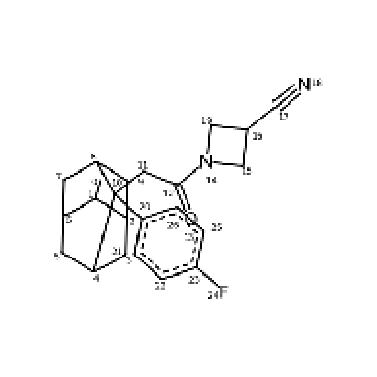 CC1C2CC3CC1CC(C2)C3(CC(=O)N1CC(C#N)C1)c1ccc(F)cc1